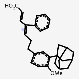 COc1ccc(CC/C=C(/C=CC(=O)O)c2ccccc2)cc1C12CC3CC(CC(C3)C1)C2